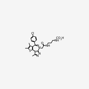 Cc1sc2c(c1C)C(c1ccc(Cl)cc1)=N[C@@H](CC(=O)NCCCNC(=O)O)c1nnc(C)n1-2